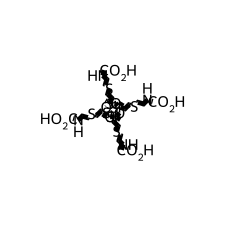 C[Si]1(CCSCCNC(=O)O)O[Si](C)(CCSCCNC(=O)O)O[Si](C)(CCSCCNC(=O)O)O[Si](C)(CCSCCNC(=O)O)O1